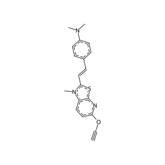 C#COc1ccc2c(n1)sc(C=Cc1ccc(N(C)C)cc1)[n+]2C